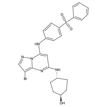 O=S(=O)(c1ccccc1)c1ccc(Nc2cc(N[C@H]3CC[C@H](O)CC3)nc3c(Br)cnn23)cc1